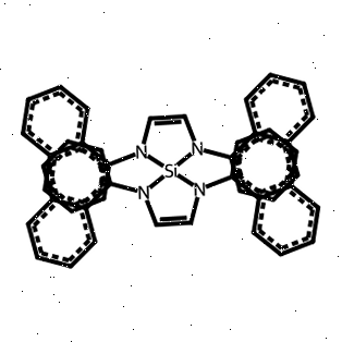 C1=CN(c2cccc3ccccc23)[Si]2(N1c1cccc3ccccc13)N(c1cccc3ccccc13)C=CN2c1cccc2ccccc12